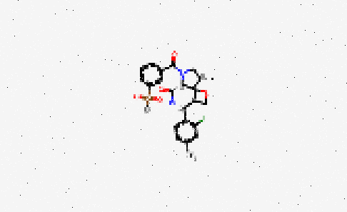 CCS(=O)(=O)c1cccc(C(=O)N2C[C@H](C)C[C@@H]2C(=O)N[C@@H](c2ccc(C(F)(F)F)cc2F)C2COC2)c1